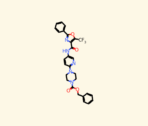 O=C(Nc1ccc(N2CCN(C(=O)OCc3ccccc3)CC2)nc1)c1nc(-c2ccccc2)oc1C(F)(F)F